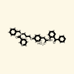 O=C(c1ccccc1)c1ccccc1NC(Cc1ccc(OCCCN(Cc2ccccc2)C(=O)c2cccnc2)cc1)C(=O)O